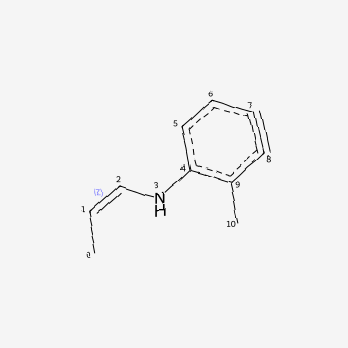 C/C=C\Nc1ccc#cc1C